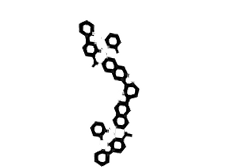 Cc1ccccc1N(c1ccc2cc3c(cc2c1)oc1c3ccc2oc3cc4cc(N(c5ccccc5C)c5c(C(C)C)ccc6c5oc5ccccc56)ccc4cc3c21)c1c(C(C)C)ccc2c1oc1ccccc12